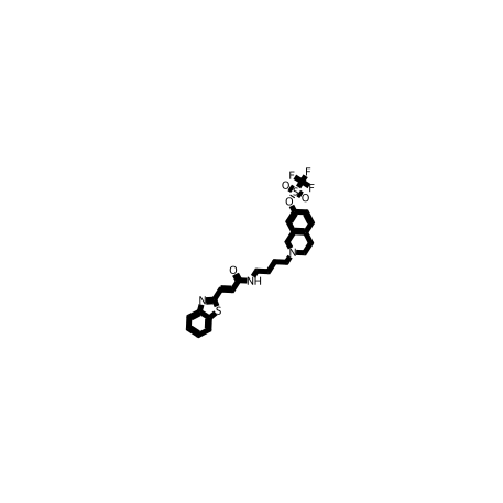 O=C(/C=C/c1nc2ccccc2s1)NCCCCN1CCc2ccc(OS(=O)(=O)C(F)(F)F)cc2C1